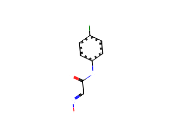 O=C(C=NO)Nc1ccc(Cl)cc1